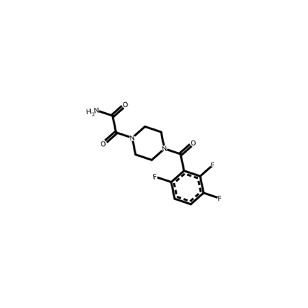 NC(=O)C(=O)N1CCN(C(=O)c2c(F)ccc(F)c2F)CC1